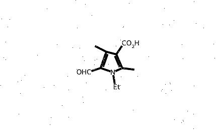 CCn1c(C)c(C(=O)O)c(C)c1C=O